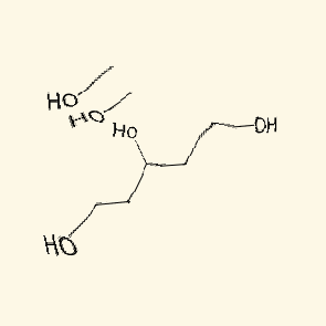 CO.CO.OCCC(O)CCO